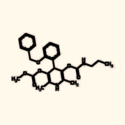 CCCNC(=O)OC1=C(C)NC(C)=C(OC(=O)OC)C1c1ccccc1OCc1ccccc1